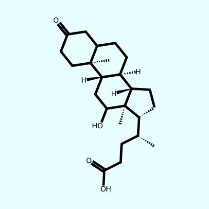 C[C@H](CCC(=O)O)[C@H]1CC[C@H]2[C@@H]3CCC4CC(=O)CC[C@]4(C)[C@H]3CC(O)[C@]12C